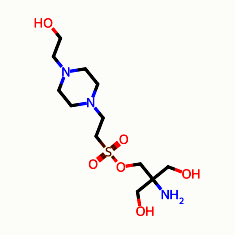 NC(CO)(CO)COS(=O)(=O)CCN1CCN(CCO)CC1